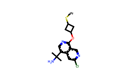 CC(C)SC1CC(Oc2ncc(C(C)(C)N)c3cc(Cl)ncc23)C1